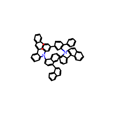 c1ccc(-c2ccc(-c3cccc(N(c4ccccc4-c4ccc5ccccc5c4)c4ccc(-c5cccc6ccccc56)c5ccccc45)c3)cc2-n2c3ccccc3c3c4ccccc4ccc32)cc1